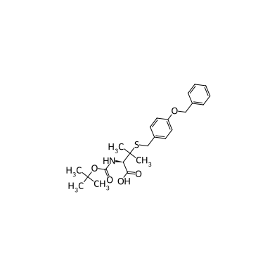 CC(C)(C)OC(=O)N[C@H](C(=O)O)C(C)(C)SCc1ccc(OCc2ccccc2)cc1